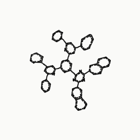 c1ccc(-c2cc(-c3ccccc3)nc(-c3cc(-c4cc(-c5ccccc5)cc(-c5ccccc5)n4)cc(-c4nc(-c5ccc6ccccc6c5)nc(-c5ccc6ccccc6c5)n4)c3)c2)cc1